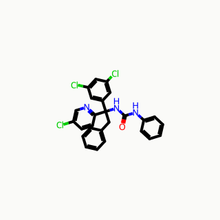 O=C(Nc1ccccc1)NC(Cc1ccccc1)(c1cc(Cl)cc(Cl)c1)c1ccc(Cl)cn1